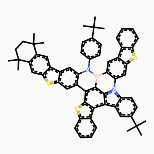 CC(C)(C)c1ccc(N2B3c4cc5c(cc4-n4c6ccc(C(C)(C)C)cc6c6c7c(sc8ccccc87)c(c3c64)-c3cc4sc6cc7c(cc6c4cc32)C(C)(C)CCC7(C)C)sc2ccccc25)cc1